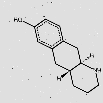 Oc1ccc2c(c1)C[C@H]1CCCN[C@@H]1C2